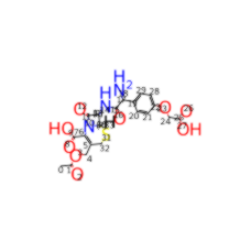 CC(=O)OCC1=C(C(=O)O)N2C(=O)[C@@H](NC(=O)C(N)c3ccc(OCC(=O)O)cc3)[C@H]2SC1